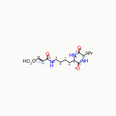 CC(C)C1NC(=O)C(CCCCNC(=O)/C=C/C(=O)O)NC1=O